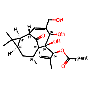 CCCCCC(=O)O[C@H]1C(C)=C[C@]23C(=O)[C@@H](C=C(CO)[C@@H](O)[C@]12O)[C@H]1[C@@H](C[C@H]3C)C1(C)C